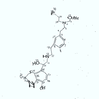 COCN(CCc1cccc(CCNCC(O)c2ccc(O)c3[nH]c(=O)sc23)c1)CCC(C)C